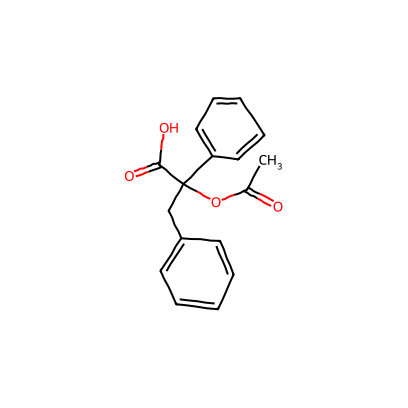 CC(=O)OC(Cc1ccccc1)(C(=O)O)c1ccccc1